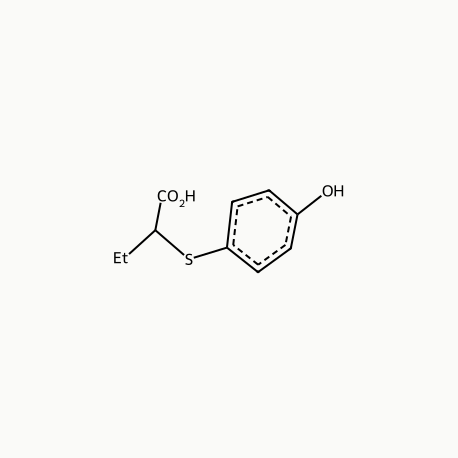 CCC(Sc1ccc(O)cc1)C(=O)O